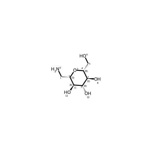 NC[C@@H]1O[C@H](CO)[C@@H](O)[C@H](O)[C@H]1O